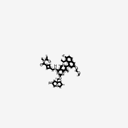 CCc1c(F)ccc2cc(OCOC)cc(-c3ncc4c(NCC5CC(C(=O)N(C)C(C)=O)C5)nc(OC[C@@]56CCCN5C[C@H](F)C6)nc4c3F)c12